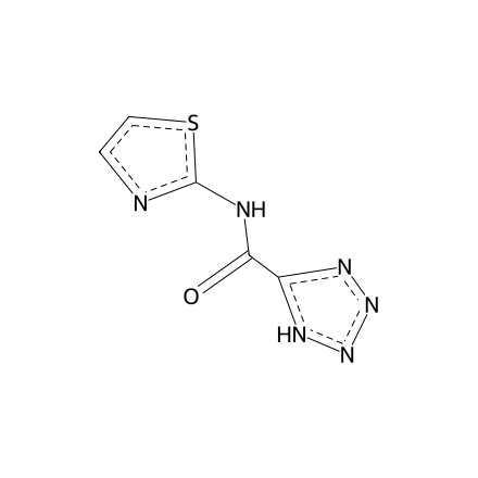 O=C(Nc1nccs1)c1nnn[nH]1